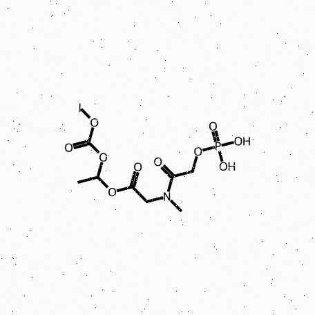 CC(OC(=O)CN(C)C(=O)COP(=O)(O)O)OC(=O)OI